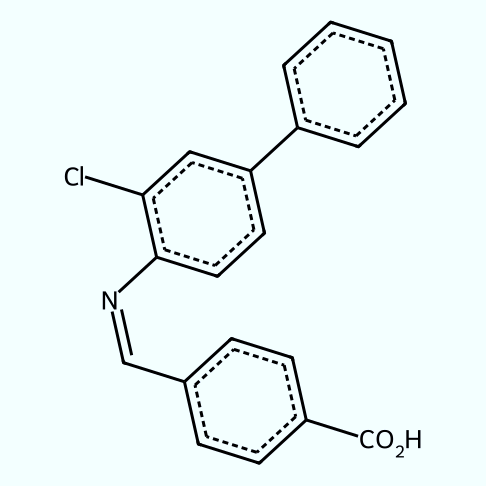 O=C(O)c1ccc(/C=N\c2ccc(-c3ccccc3)cc2Cl)cc1